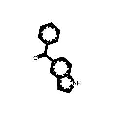 O=C(c1cc[c]cc1)c1ccc2[nH]ccc2c1